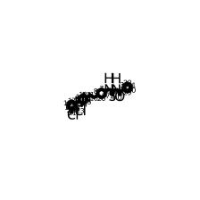 O=C(NC(=S)NC1CCC(CCN2CCN(c3cccc(Cl)c3Cl)CC2)CC1)c1ccccc1